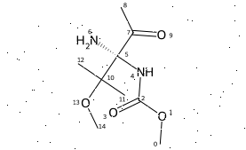 COC(=O)N[C@](N)(C(C)=O)C(C)(C)OC